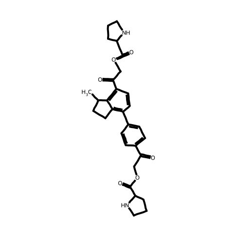 CC1CCc2c(-c3ccc(C(=O)COC(=O)C4CCCN4)cc3)ccc(C(=O)COC(=O)C3CCCN3)c21